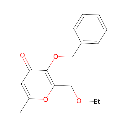 CCOCc1oc(C)cc(=O)c1OCc1ccccc1